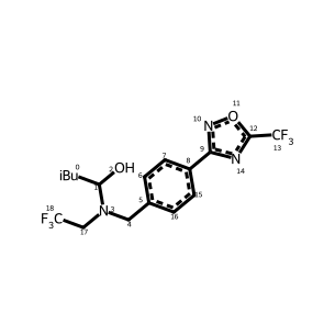 CCC(C)C(O)N(Cc1ccc(-c2noc(C(F)(F)F)n2)cc1)CC(F)(F)F